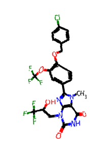 Cn1c(-c2ccc(OCc3ccc(Cl)cc3)c(OC(F)(F)F)c2)nc2c1c(=O)[nH]c(=O)n2CC(O)C(F)(F)F